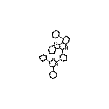 c1ccc(-c2nc(-c3ccccc3)nc(-c3cccc(-c4nc5cccc(-c6ccccc6)c5c5oc6ccccc6c45)c3)n2)cc1